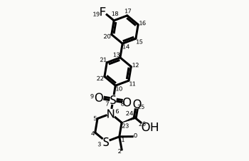 CC1(C)SCCN(S(=O)(=O)c2ccc(-c3cccc(F)c3)cc2)[C@H]1C(=O)O